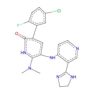 CN(C)c1[nH]c(=O)c(-c2cc(Cl)ccc2F)cc1Nc1ccncc1C1=NCCN1